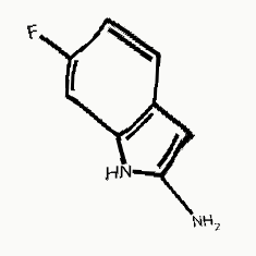 Nc1cc2ccc(F)cc2[nH]1